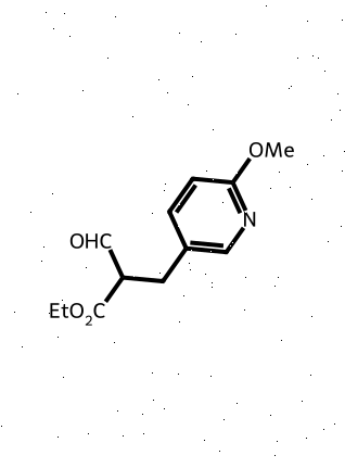 CCOC(=O)C(C=O)Cc1ccc(OC)nc1